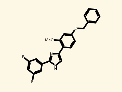 COc1cc(OCc2ccccc2)ccc1-c1c[nH]c(-c2cc(F)cc(F)c2)n1